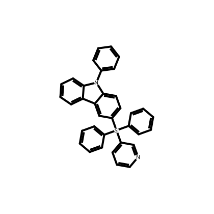 c1ccc(-n2c3ccccc3c3cc([Si](c4ccccc4)(c4ccccc4)c4cccnc4)ccc32)cc1